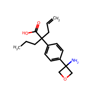 C=CCC(CCC)(C(=O)O)c1ccc(C2(N)COC2)cc1